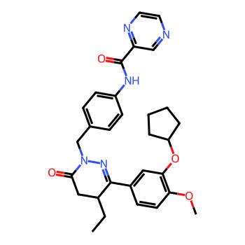 CCC1CC(=O)N(Cc2ccc(NC(=O)c3cnccn3)cc2)N=C1c1ccc(OC)c(OC2CCCC2)c1